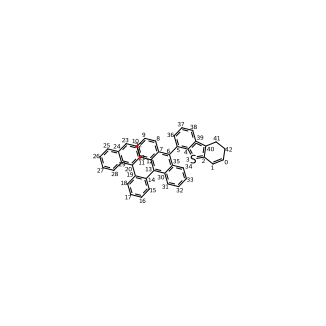 C1=Cc2sc3c(-c4c5ccccc5c(-c5ccccc5-c5cccc6ccccc56)c5ccccc45)cccc3c2CC1